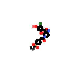 CS(=O)(=O)c1ccc(CC(=O)N2CCc3noc(-c4cc(Cl)c(O)cc4O)c3C2)cc1